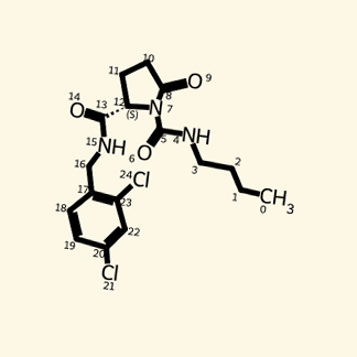 CCCCNC(=O)N1C(=O)CC[C@H]1C(=O)NCc1ccc(Cl)cc1Cl